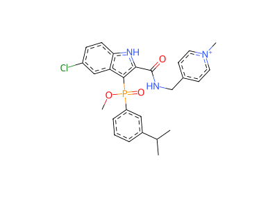 COP(=O)(c1cccc(C(C)C)c1)c1c(C(=O)NCc2cc[n+](C)cc2)[nH]c2ccc(Cl)cc12